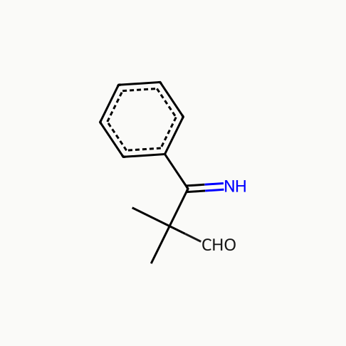 CC(C)(C=O)C(=N)c1ccccc1